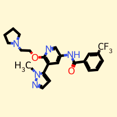 Cn1nccc1-c1cc(NC(=O)c2cccc(C(F)(F)F)c2)cnc1OCCN1CCCC1